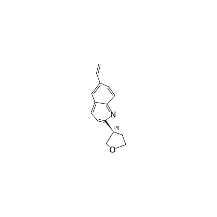 C=Cc1ccc2nc([C@H]3CCOC3)ccc2c1